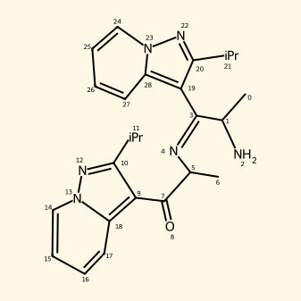 CC(N)C(=NC(C)C(=O)c1c(C(C)C)nn2ccccc12)c1c(C(C)C)nn2ccccc12